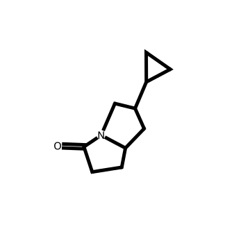 O=C1CCC2CC(C3CC3)CN12